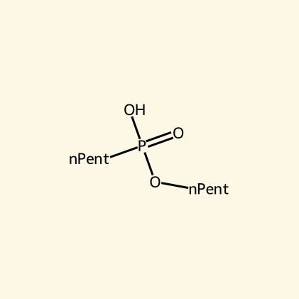 CCCCCOP(=O)(O)CCCCC